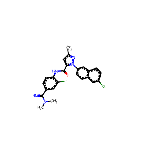 CN(C)C(=N)c1ccc(NC(=O)c2cc(C(F)(F)F)nn2-c2ccc3cc(Cl)ccc3c2)c(F)c1